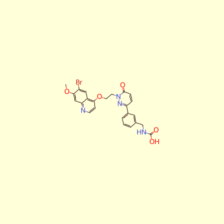 COc1cc2nccc(OCCn3nc(-c4cccc(CNC(=O)O)c4)ccc3=O)c2cc1Br